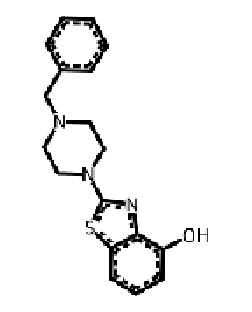 Oc1cccc2sc(N3CCN(Cc4ccccc4)CC3)nc12